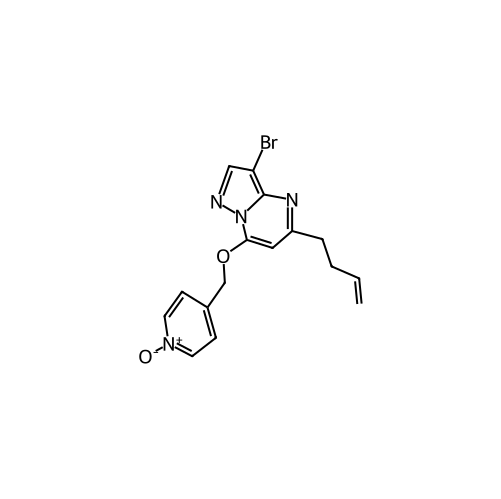 C=CCCc1cc(OCc2cc[n+]([O-])cc2)n2ncc(Br)c2n1